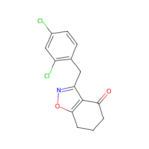 O=C1CCCc2onc(Cc3ccc(Cl)cc3Cl)c21